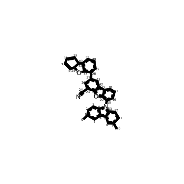 Cc1ccc2c(c1)c1cc(C)ccc1n2-c1cccc2c1oc1c(C#N)cc(-c3cccc4c3OC3C=CC=CC43)cc12